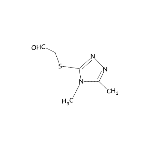 Cc1nnc(SCC=O)n1C